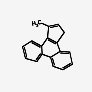 CC1=CCc2c1c1ccccc1c1ccccc21